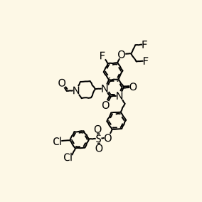 O=CN1CCC(n2c(=O)n(Cc3ccc(OS(=O)(=O)c4ccc(Cl)c(Cl)c4)cc3)c(=O)c3cc(OC(CF)CF)c(F)cc32)CC1